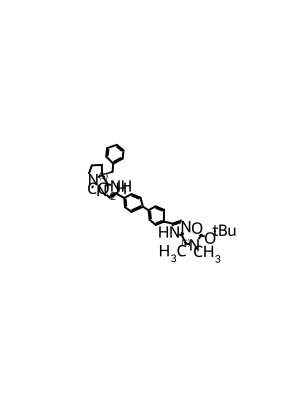 C[C@@H](c1ncc(-c2ccc(-c3ccc(-c4cnc([C@@]5(Cc6ccccc6)CCCN5C(=O)O)[nH]4)cc3)cc2)[nH]1)N(C)C(=O)OC(C)(C)C